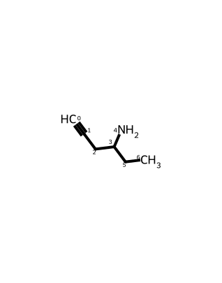 C#CCC(N)CC